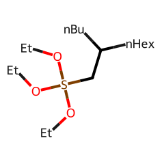 CCCCCCC(CCCC)CS(OCC)(OCC)OCC